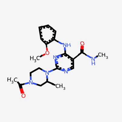 CNC(=O)c1cnc(N2CCN(C(C)=O)CC2C)nc1Nc1ccccc1OC